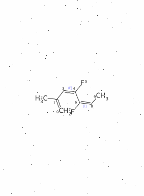 C=C(C)/C=C(F)\C(F)=C/C